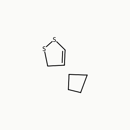 C1=CSSC1.C1CCC1